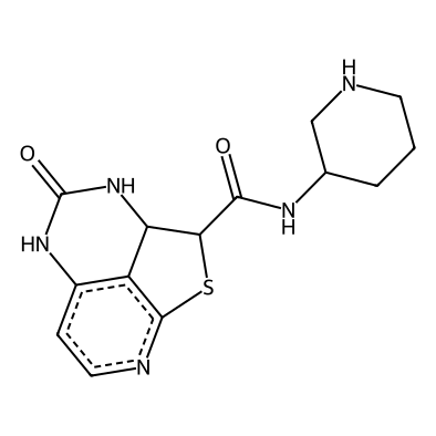 O=C1Nc2ccnc3c2C(N1)C(C(=O)NC1CCCNC1)S3